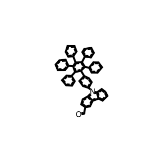 O=Cc1ccc2c(c1)c1ccccc1n2-c1ccc(-c2c(-c3ccccc3)c(-c3ccccc3)c(-c3ccccc3)c(-c3ccccc3)c2-c2ccccc2)cc1